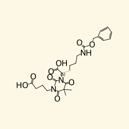 CC1(C)C(=O)N(CCCC(=O)O)C(=O)N([C@@H](CCCCNC(=O)OCc2ccccc2)C(=O)O)C1=O